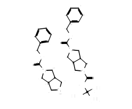 CC(C)(C)OC(=O)N1CC2CN(C(=O)OCc3ccccc3)CC2C1.O=C(OCc1ccccc1)N1CC2CNCC2C1